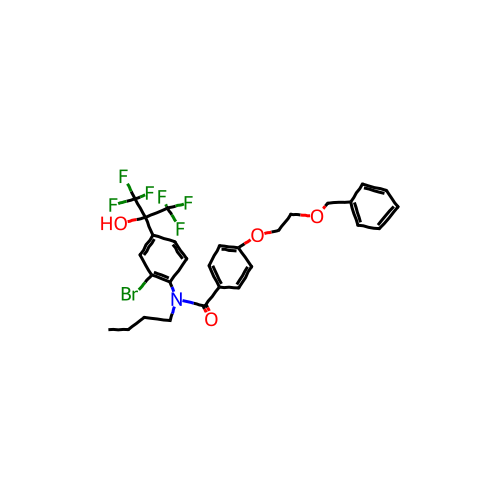 CCCCN(C(=O)c1ccc(OCCOCc2ccccc2)cc1)c1ccc(C(O)(C(F)(F)F)C(F)(F)F)cc1Br